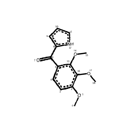 COc1ccc(C(=O)c2ccc[nH]2)c(OC)c1OC